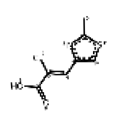 Cc1nc(/C=C(\Cl)C(=O)O)cs1